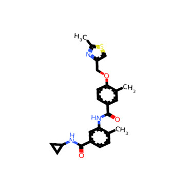 Cc1nc(COc2ccc(C(=O)Nc3cc(C(=O)NC4CC4)ccc3C)cc2C)cs1